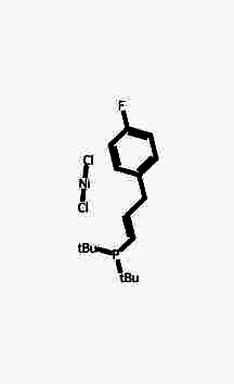 CC(C)(C)P(C=CCc1ccc(F)cc1)C(C)(C)C.[Cl][Ni][Cl]